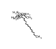 CCCCCCCCCCCCCC[N+](C)(C(C)CC)[Si](OC)(OC)OC